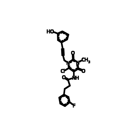 Cn1c(=O)c(NC(=O)CCc2cccc(F)c2)c(Cl)n(CC#Cc2cccc(O)c2)c1=O